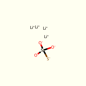 [Li+].[Li+].[Li+].[Li+].[O-][Si]([O-])([O-])[S-]